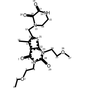 CCOCCn1c(=O)c2c(C)c(CN3CCNC(=O)C3=O)sc2n(CCOC)c1=O